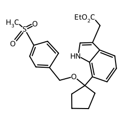 CCOC(=O)Cc1c[nH]c2c(C3(OCc4ccc(S(C)(=O)=O)cc4)CCCC3)cccc12